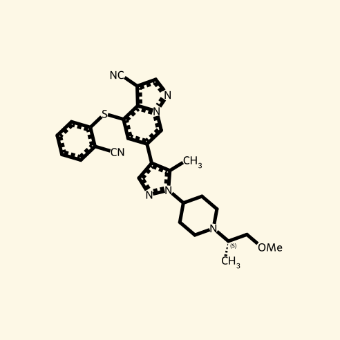 COC[C@H](C)N1CCC(n2ncc(-c3cc(Sc4ccccc4C#N)c4c(C#N)cnn4c3)c2C)CC1